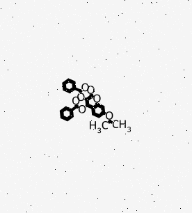 CC(C)Oc1ccc2c(OC(=O)c3ccccc3)c(OC(=O)c3ccccc3)c(=O)oc2c1